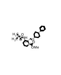 COC(=O)N1CCC[C@H](NS(=O)(=O)N(C)C)[C@@H]1CO[C@H]1CC[C@@H](c2ccccc2)CC1